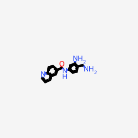 NCc1ccc(NC(=O)c2ccc3ncccc3c2)cc1N